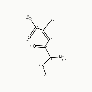 CSC(N)C(=O)C=C(C)C(=O)O